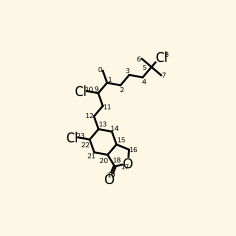 CC(CCCC(C)(C)Cl)C(Cl)CCC1CC2COC(=O)C2CC1Cl